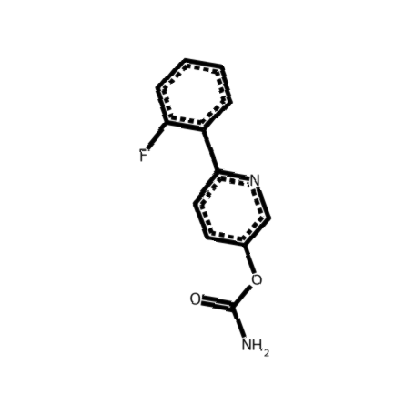 NC(=O)Oc1ccc(-c2ccccc2F)nc1